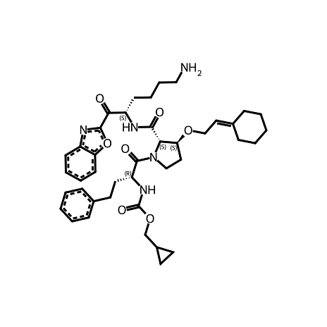 NCCCC[C@H](NC(=O)[C@@H]1[C@@H](OCC=C2CCCCC2)CCN1C(=O)[C@@H](CCc1ccccc1)NC(=O)OCC1CC1)C(=O)c1nc2ccccc2o1